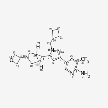 Nc1ncc(-c2cc(C3[C@H]4CN(C5COC5)C[C@@H]34)n(CC3CCC3)n2)cc1C(F)(F)F